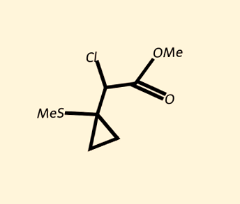 COC(=O)C(Cl)C1(SC)CC1